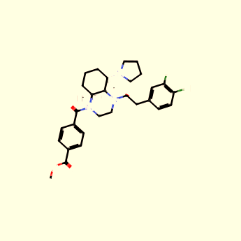 COC(=O)c1ccc(C(=O)N2CCN(C(=O)Cc3ccc(Cl)c(Cl)c3)[C@@H]3[C@@H](N4CCCC4)CCC[C@@H]32)cc1